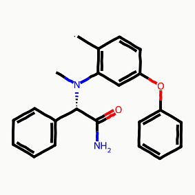 [CH2]c1ccc(Oc2ccccc2)cc1N(C)[C@H](C(N)=O)c1ccccc1